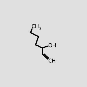 [CH]=CC(O)CCCC